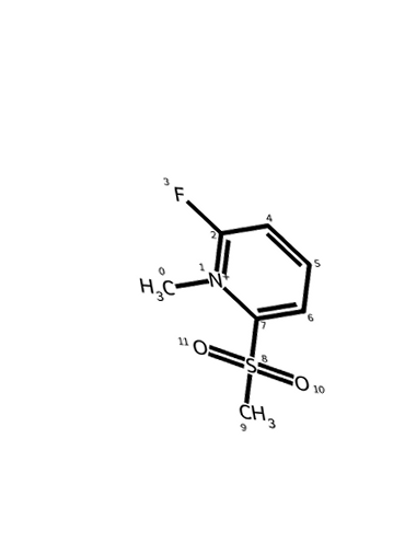 C[n+]1c(F)cccc1S(C)(=O)=O